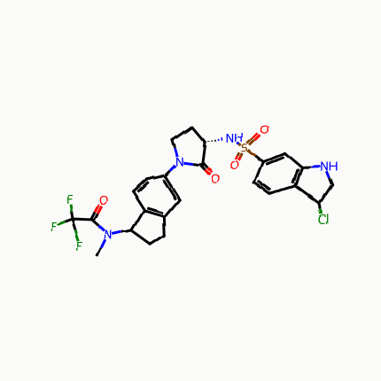 CN(C(=O)C(F)(F)F)C1CCc2cc(N3CC[C@H](NS(=O)(=O)c4ccc5c(c4)NCC5Cl)C3=O)ccc21